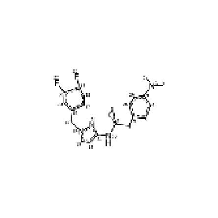 CN(C)c1ccc(CC(=O)Nc2ccn(Cc3ccc(F)c(F)c3)n2)cc1